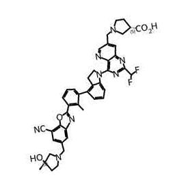 Cc1c(-c2nc3cc(CN4CC[C@](C)(O)C4)cc(C#N)c3o2)cccc1-c1cccc2c1CCN2c1nc(C(F)F)nc2cc(CN3CC[C@H](C(=O)O)C3)cnc12